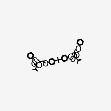 C=C(C)C(=O)OC(COc1ccccc1)COc1ccc(C(C)(C)c2ccc(OCC(COc3ccccc3)OC(=O)C(=C)C)cc2)cc1